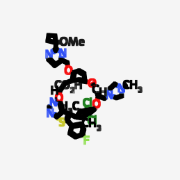 COC1(c2nccc(COc3ccc4cc3C[C@H](C(=O)O)Oc3ncnc5sc(-c6ccc(F)cc6)c(c35)-c3c(C)c(Cl)c(c(Cl)c3C)O[C@H](CN3CCN(C)CC3)CO4)n2)CCC1